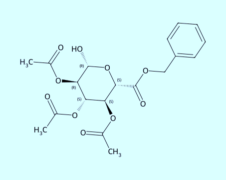 CC(=O)O[C@@H]1[C@@H](OC(C)=O)[C@H](O)O[C@H](C(=O)OCc2ccccc2)[C@H]1OC(C)=O